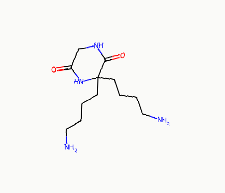 NCCCCC1(CCCCN)NC(=O)CNC1=O